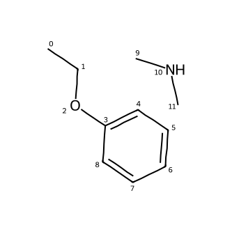 CCOc1ccccc1.CNC